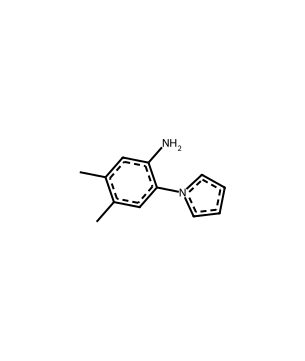 Cc1cc(N)c(-n2cccc2)cc1C